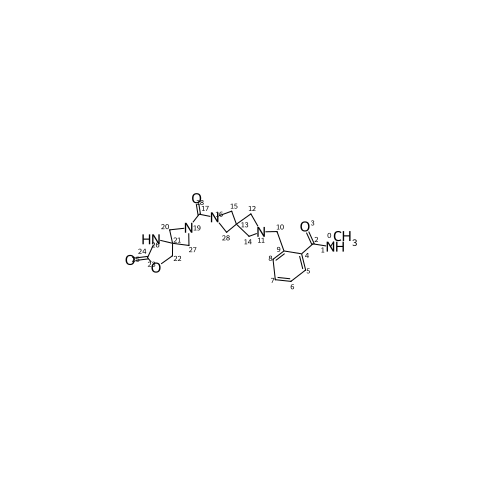 CNC(=O)c1ccccc1CN1CC2(C1)CN(C(=O)N1CC3(COC(=O)N3)C1)C2